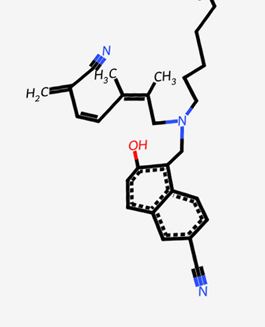 C=C(C#N)/C=C\C(C)=C(\C)CN(CCCCCC)Cc1c(O)ccc2cc(C#N)ccc12